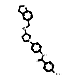 CC(C)COc1ccc(C(=O)Nc2ccc(N3CCC(NCc4ccc5c(c4)CCO5)C3)cc2)cc1